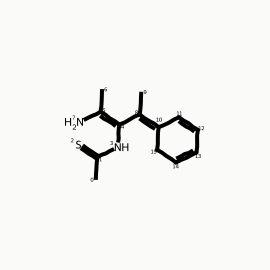 CC(=S)NC(=C(/C)N)/C(C)=C1/C=CC=CC1